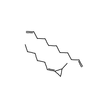 C=CCCCCCCCC=C.CCCCCC=C1CC1C